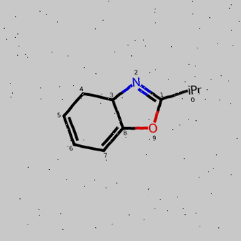 CC(C)C1=NC2CC=CC=C2O1